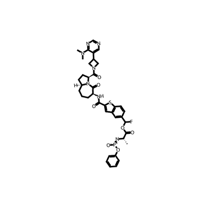 C[C@H](N=[P+]([O-])Oc1ccccc1)C(=O)OC(F)c1ccc2sc(C(=O)N[C@H]3CCC[C@H]4CC[C@@H](C(=O)N5CC(c6cncnc6N(C)C)C5)N4C3=O)cc2c1